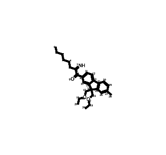 CCCCCCC(=N)C(=O)c1ccc2c(c1)C(COCC)(COCC)c1cc(C)ccc1-2